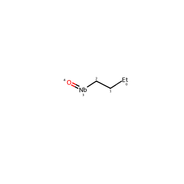 CCC[CH2][Nb]=[O]